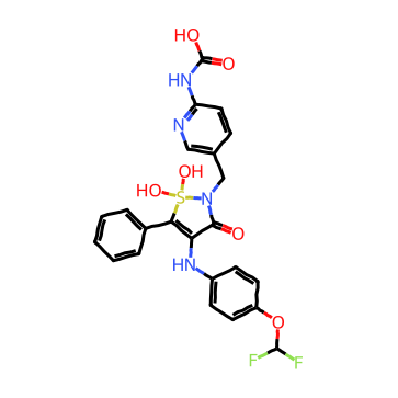 O=C(O)Nc1ccc(CN2C(=O)C(Nc3ccc(OC(F)F)cc3)=C(c3ccccc3)S2(O)O)cn1